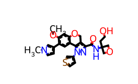 COc1cc2c(cc1-c1ccn(C)c1)-c1c(c(C(=O)NC3(CCO)COC3)nn1-c1ccsc1)CO2